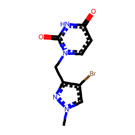 Cn1cc(Br)c(Cn2ccc(=O)[nH]c2=O)n1